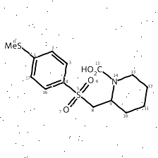 CSc1ccc(S(=O)(=O)CC2CCCCN2C(=O)O)cc1